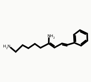 NCCCCCC(N)=CC=Cc1ccccc1